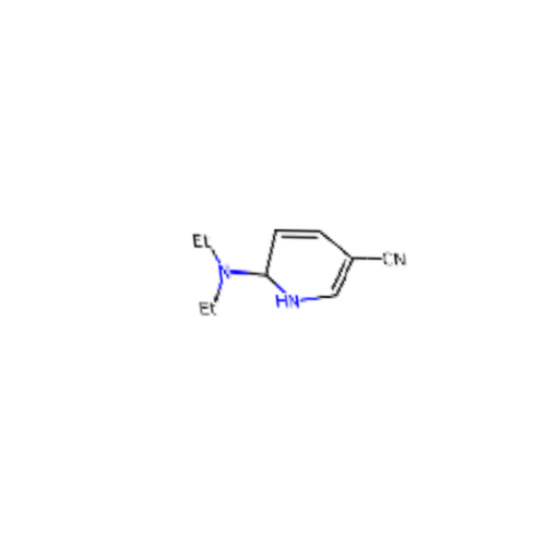 CCN(CC)C1C=CC(C#N)=CN1